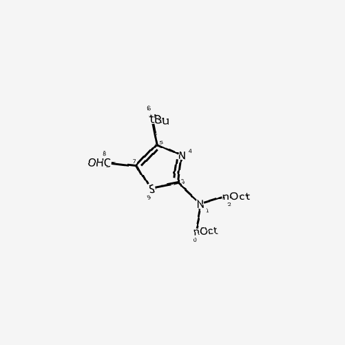 CCCCCCCCN(CCCCCCCC)c1nc(C(C)(C)C)c(C=O)s1